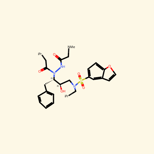 CNCC(=O)NN(C(=O)CC(C)C)[C@@H](Cc1ccccc1)[C@H](O)CN(CC(C)C)S(=O)(=O)c1ccc2occc2c1